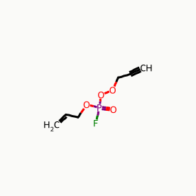 C#CCOOP(=O)(F)OCC=C